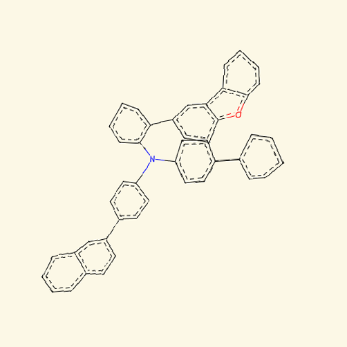 c1ccc(-c2ccc(N(c3ccc(-c4ccc5ccccc5c4)cc3)c3ccccc3-c3ccc4oc5ccccc5c4c3)cc2)cc1